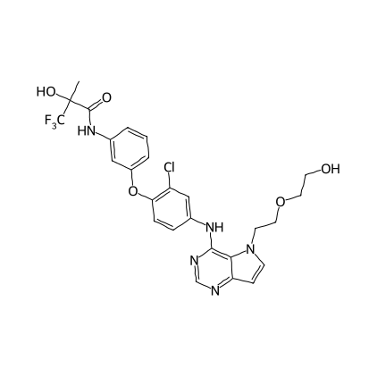 CC(O)(C(=O)Nc1cccc(Oc2ccc(Nc3ncnc4ccn(CCOCCO)c34)cc2Cl)c1)C(F)(F)F